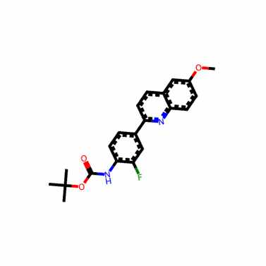 COc1ccc2nc(-c3ccc(NC(=O)OC(C)(C)C)c(F)c3)ccc2c1